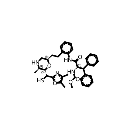 COC(=O)N[C@H](C(=O)Nc1ccccc1CC[C@@H]1CN[C@H](C)[C@@H](C(S)c2nc(C)c(C)o2)O1)C(c1ccccc1)c1ccccc1